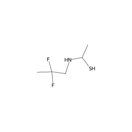 CC(S)NCC(C)(F)F